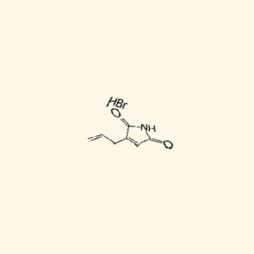 Br.C=CCC1=CC(=O)NC1=O